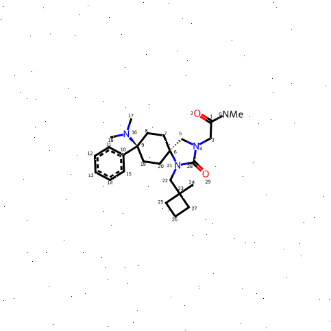 CNC(=O)CN1C[C@]2(CC[C@](c3ccccc3)(N(C)C)CC2)N(CC2(C)CCC2)C1=O